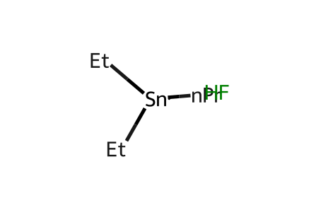 CC[CH2][Sn]([CH2]C)[CH2]C.F